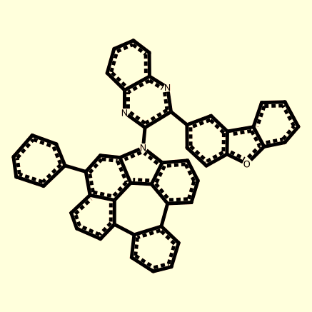 c1ccc(-c2cc3c4c5c(cccc25)-c2ccccc2-c2cccc(c24)n3-c2nc3ccccc3nc2-c2ccc3oc4ccccc4c3c2)cc1